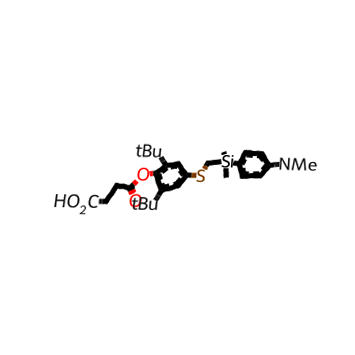 CNc1ccc([Si](C)(C)CSc2cc(C(C)(C)C)c(OC(=O)CCC(=O)O)c(C(C)(C)C)c2)cc1